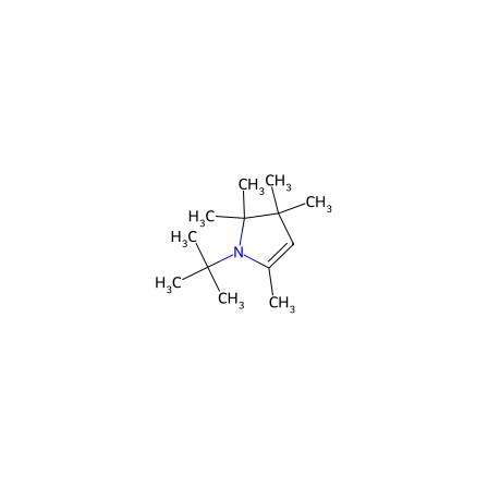 CC1=CC(C)(C)C(C)(C)N1C(C)(C)C